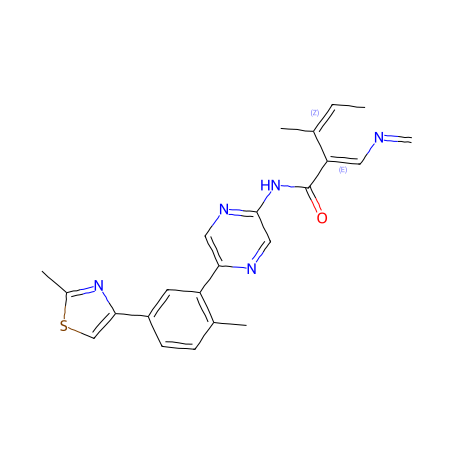 C=N/C=C(C(=O)Nc1cnc(-c2cc(-c3csc(C)n3)ccc2C)cn1)\C(C)=C/C